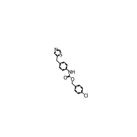 O=C(Nc1ccc(Cc2cncs2)cc1)OCc1ccc(Cl)cc1